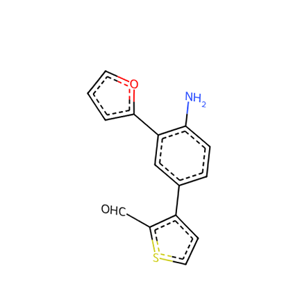 Nc1ccc(-c2ccsc2C=O)cc1-c1ccco1